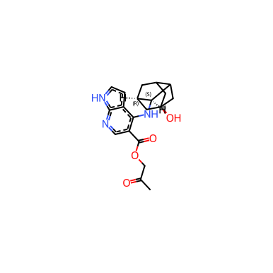 CC(=O)COC(=O)c1cnc2[nH]ccc2c1N[C@@H]1C2C[C@@]3(O)CC2C[C@@H]1C3